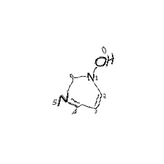 ON1C=CC=NC1